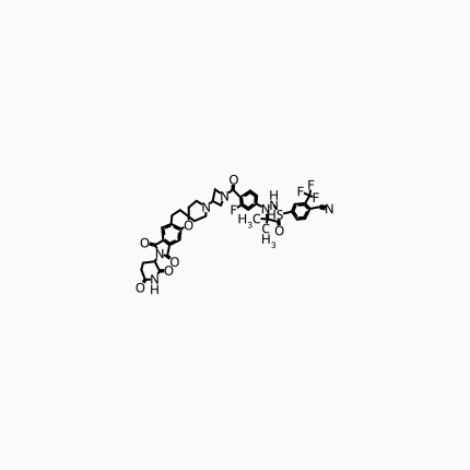 CC1(C)C(=O)[SH](c2ccc(C#N)c(C(F)(F)F)c2)NN1c1ccc(C(=O)N2CC(N3CCC4(CCc5cc6c(cc5O4)C(=O)N(C4CCC(=O)NC4=O)C6=O)CC3)C2)c(F)c1